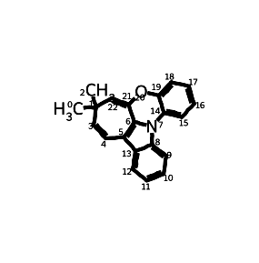 CC1(C)C=Cc2c3n(c4ccccc24)-c2ccccc2OC3=C1